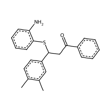 Cc1ccc(C(CC(=O)c2ccccc2)Sc2ccccc2N)cc1C